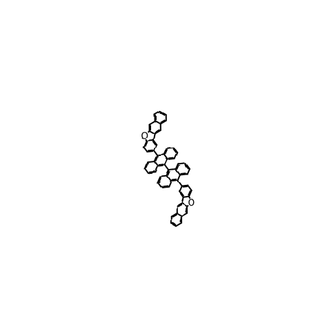 c1ccc2cc3c(cc2c1)oc1ccc(-c2c4ccccc4c(-c4c5ccccc5c(-c5ccc6oc7cc8ccccc8cc7c6c5)c5ccccc45)c4ccccc24)cc13